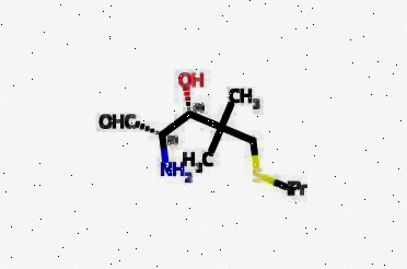 CC(C)SCC(C)(C)[C@@H](O)[C@H](N)C=O